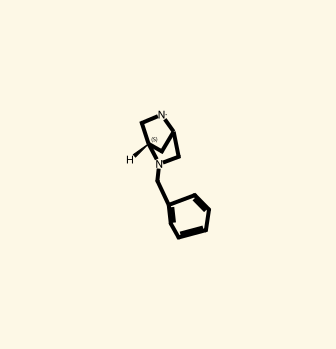 c1ccc(CN2CC3C[C@H]2C[N]3)cc1